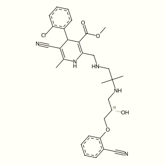 COC(=O)C1=C(CNCC(C)(C)NC[C@H](O)COc2ccccc2C#N)NC(C)=C(C#N)C1c1ccccc1Cl